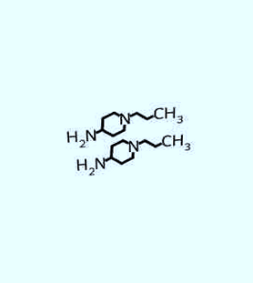 CCCN1CCC(N)CC1.CCCN1CCC(N)CC1